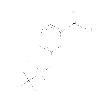 CC(C)(C)[Si](C)(C)Oc1cccc(C(N)=O)c1